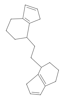 C1=CC2=C(C1)C(CCC1CCCC3=C1CC=C3)CCC2